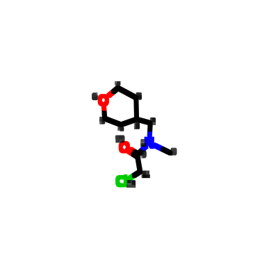 CN(CC1CCOCC1)C(=O)CCl